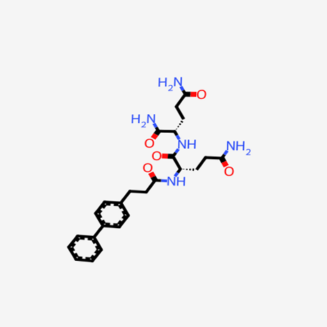 NC(=O)CC[C@H](NC(=O)[C@H](CCC(N)=O)NC(=O)CCc1ccc(-c2ccccc2)cc1)C(N)=O